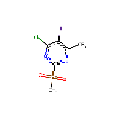 CS(=O)(=O)c1nc(Cl)c(I)c(C(F)(F)F)n1